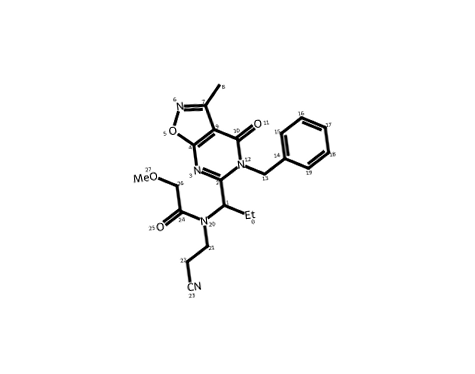 CCC(c1nc2onc(C)c2c(=O)n1Cc1ccccc1)N(CCC#N)C(=O)COC